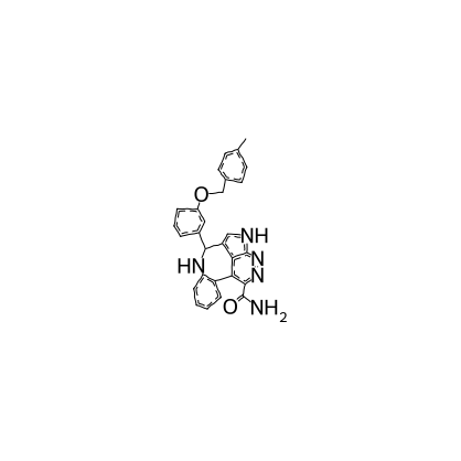 Cc1ccc(COc2cccc(C3Nc4ccccc4-c4c(C(N)=O)nnc5[nH]cc3c45)c2)cc1